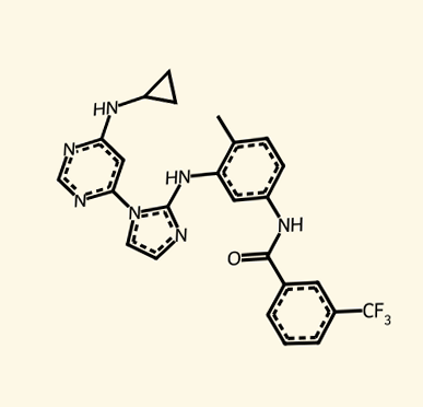 Cc1ccc(NC(=O)c2cccc(C(F)(F)F)c2)cc1Nc1nccn1-c1cc(NC2CC2)ncn1